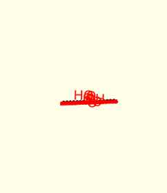 CCCCCCCCCCCCCCCCCC(=O)OCCOCCCCCCCCCCCC.O=S(=O)(O)O